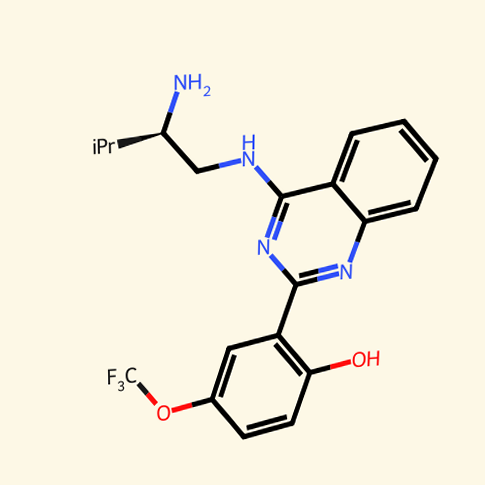 CC(C)[C@@H](N)CNc1nc(-c2cc(OC(F)(F)F)ccc2O)nc2ccccc12